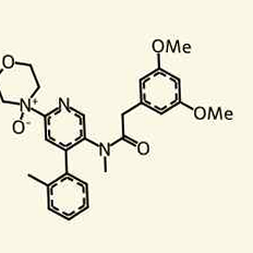 COc1cc(CC(=O)N(C)c2cnc([N+]3([O-])CCOCC3)cc2-c2ccccc2C)cc(OC)c1